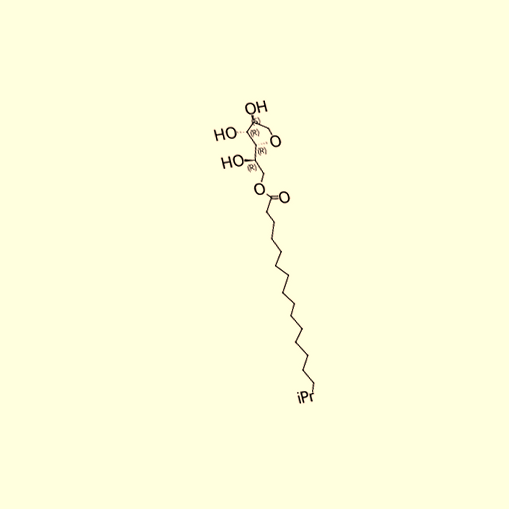 CC(C)CCCCCCCCCCCCCCC(=O)OC[C@@H](O)[C@H]1OC[C@H](O)[C@H]1O